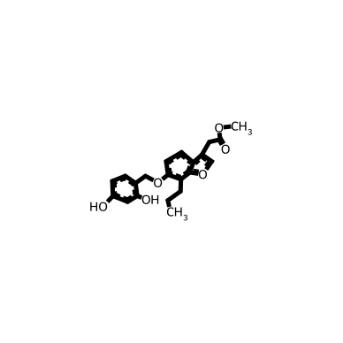 CCCc1c(OCc2ccc(O)cc2O)ccc2c(CC(=O)OC)coc12